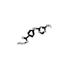 CCCCCOC(=O)c1ccc(Nc2ncnc(N)n2)cc1